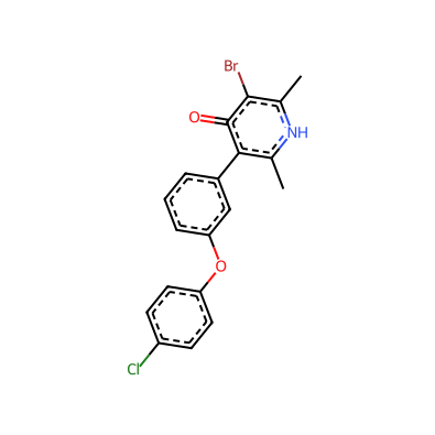 Cc1[nH]c(C)c(-c2cccc(Oc3ccc(Cl)cc3)c2)c(=O)c1Br